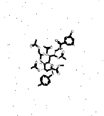 COC(=O)[C@]1(Sc2ccc(C)cc2)C[C@H](OC(C)=O)[C@@H](NC(=O)COC(C)=O)[C@H]([C@H](OC(C)=O)[C@@H](CNC(=O)c2cccc(Cl)c2)OC(C)=O)O1